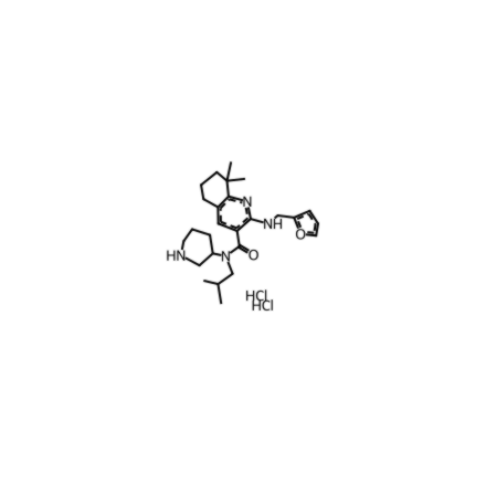 CC(C)CN(C(=O)c1cc2c(nc1NCc1ccco1)C(C)(C)CCC2)C1CCCNC1.Cl.Cl